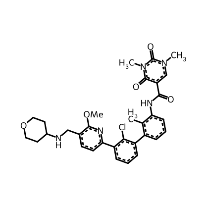 COc1nc(-c2cccc(-c3cccc(NC(=O)c4cn(C)c(=O)n(C)c4=O)c3C)c2Cl)ccc1CNC1CCOCC1